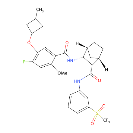 COc1cc(F)c(OC2CC(C)C2)cc1C(=O)N[C@@H]1[C@@H]2CC[C@@H](C2)[C@@H]1C(=O)Nc1cccc(S(=O)(=O)C(F)(F)F)c1